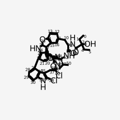 CCC(O)(CC)C(=O)N[C@H]1Cc2ccc3c(c2)C24c5cccc(c5NC2O3)-c2cccc3[nH]c(Cl)c(c23)-c2oc(nc2Cl)-c2nc(oc24)[C@H](C(C)C)NC1=O